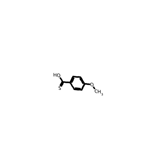 COc1ccc(C(O)=S)cc1